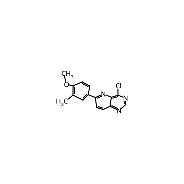 COc1ccc(-c2ccc3ncnc(Cl)c3n2)cc1C